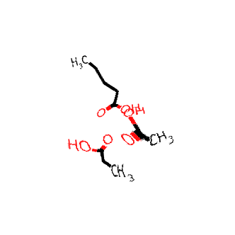 CC(=O)O.CCC(=O)O.CCCCC(=O)O